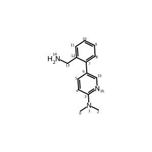 CN(C)c1ccc(-c2ccccc2CN)cn1